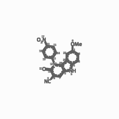 COc1ccc2[nH]c3cc(C#N)c(=O)n(-c4ccc([N+](=O)[O-])cc4)c3c2c1